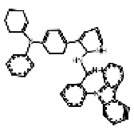 N=C(NC1NC=CC=C1C1=CC=C(N(C2=CCCCC2)c2ccccc2)CC1)c1ccccc1-n1c2ccc#cc2c2ccccc21